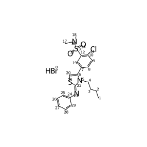 Br.CCCCn1c(-c2ccc(Cl)c(S(=O)(=O)N(C)C)c2)csc1=Nc1ccccc1